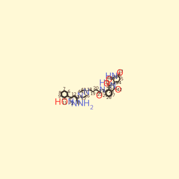 Nc1nnc(-c2ccccc2O)cc1N1CCN(CCCC(=O)Nc2cccc3c2C(=O)N(C2CCC(=O)NC2=O)C3=O)CC1